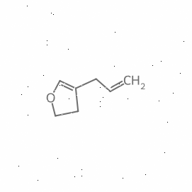 C=CCC1=COCC1